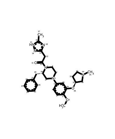 COc1ccc(N2CCN(C(=O)Cc3n[nH]c(C)n3)[C@@H](Cc3ccccc3)C2)cc1O[C@H]1CCN(C)C1